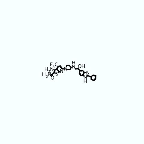 NC(=O)c1sc2nc(N3CCC(NCC(O)c4ccc5[nH]c(-c6ccccc6)nc5c4)CC3)cc(C(F)(F)F)c2c1N